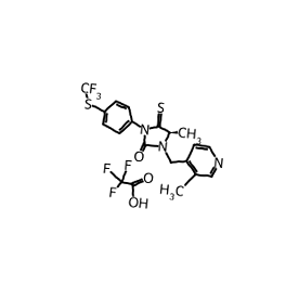 Cc1cnccc1CN1C(=O)N(c2ccc(SC(F)(F)F)cc2)C(=S)[C@H]1C.O=C(O)C(F)(F)F